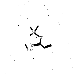 C=CC(=O)O[N+](C)(C)C.COC(C)=O